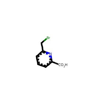 O=C(O)c1cccc(CBr)n1